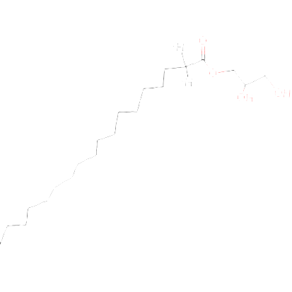 [2H]C([2H])(CCCCCCCCCCCCCCCC)C(=O)OCC(O)CO